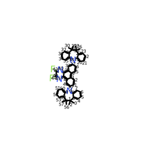 CC1(C)c2ccccc2N(c2ccc3c4ccc(N5c6ccccc6C(C)(C)C(C)(C)c6ccccc65)cc4c4nc(F)c(F)nc4c3c2)c2ccccc2C1(C)C